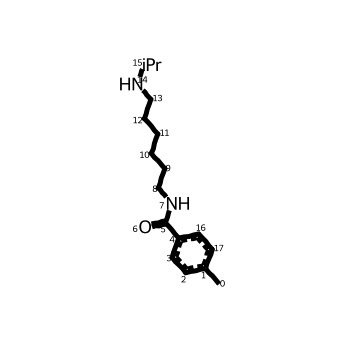 Cc1ccc(C(=O)NCCCCCCNC(C)C)cc1